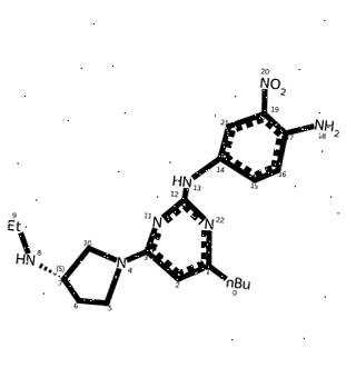 CCCCc1cc(N2CC[C@H](NCC)C2)nc(Nc2ccc(N)c([N+](=O)[O-])c2)n1